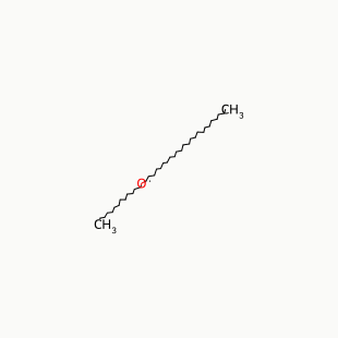 CCCCCCCCCCCCCCCCCCCCCCC[CH]OCCCCCCCCCCCCC